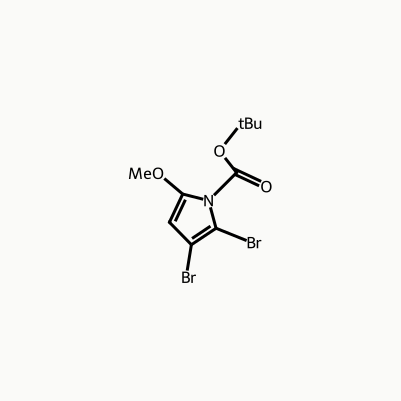 COc1cc(Br)c(Br)n1C(=O)OC(C)(C)C